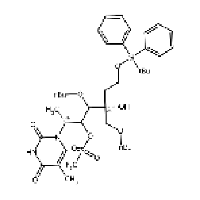 CCCCOC[C@](O)(CCO[Si](c1ccccc1)(c1ccccc1)C(C)(C)C)C(OCCCC)C(OS(=O)(=O)C(F)(F)F)[C@@H](C)n1cc(C)c(=O)[nH]c1=O